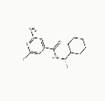 C[C@H](NC(=O)c1cc(N)nc(F)c1)C1CCCCC1